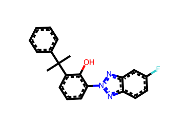 CC(C)(c1ccccc1)c1cccc(-n2nc3ccc(F)cc3n2)c1O